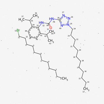 CCCCCCCCCCCCBr.CCCCCCCCCCCCn1nnc(NC(=O)Nc2c(C(C)C)cccc2C(C)C)n1